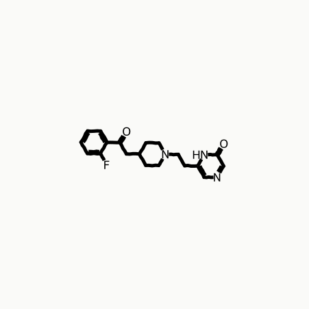 O=C(CC1CCN(CCc2cncc(=O)[nH]2)CC1)c1ccccc1F